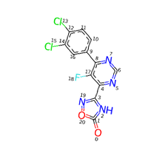 O=c1[nH]c(-c2ncnc(-c3ccc(Cl)c(Cl)c3)c2F)no1